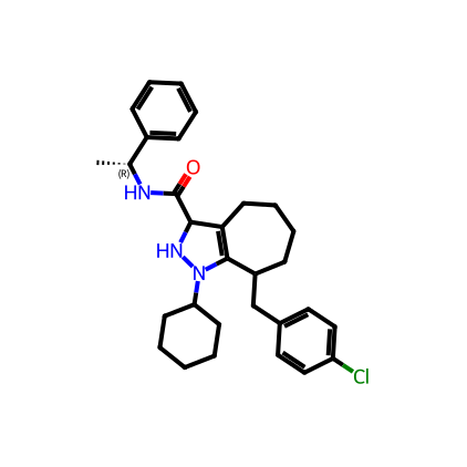 C[C@@H](NC(=O)C1NN(C2CCCCC2)C2=C1CCCCC2Cc1ccc(Cl)cc1)c1ccccc1